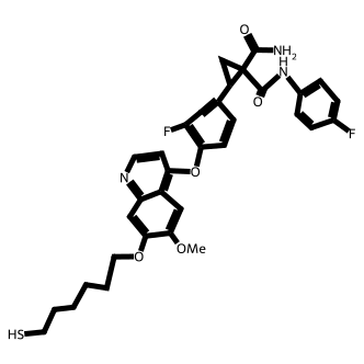 COc1cc2c(Oc3ccc(C4CC4(C(N)=O)C(=O)Nc4ccc(F)cc4)cc3F)ccnc2cc1OCCCCCCS